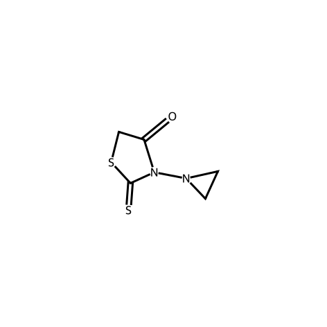 O=C1CSC(=S)N1N1CC1